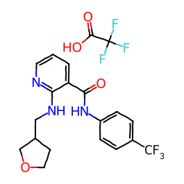 O=C(Nc1ccc(C(F)(F)F)cc1)c1cccnc1NCC1CCOC1.O=C(O)C(F)(F)F